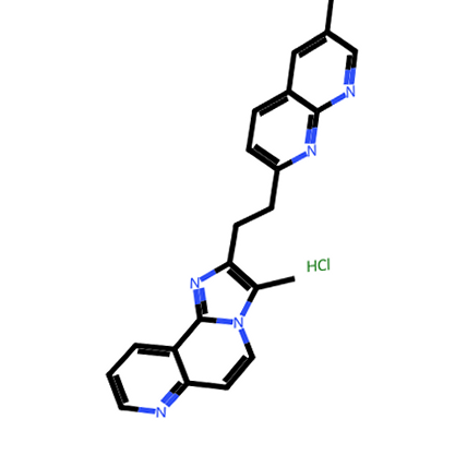 Cc1cnc2nc(CCc3nc4c5cccnc5ccn4c3C)ccc2c1.Cl